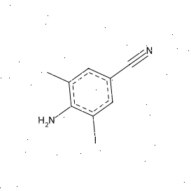 Cc1cc(C#N)cc(I)c1N